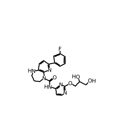 O=C(Nc1ccnc(OCC(O)CO)n1)N1CCCNc2ccc(-c3cccc(F)c3)nc21